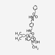 C=CCN(C(=O)O)c1cnc2n(c1=O)[C@H](C(=O)NCc1ccc(C=NNC(=O)OCc3ccccc3)cc1)CC2(CC=C)CC=C